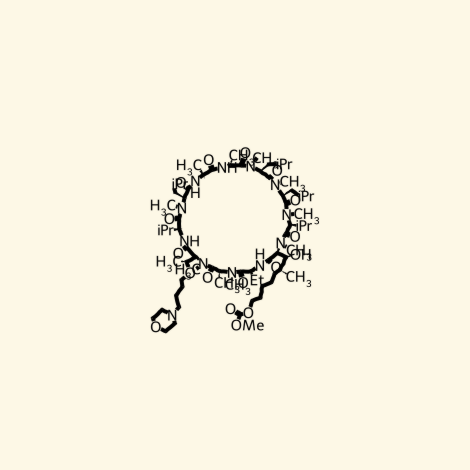 CC[C@@H]1NC(=O)[C@H]([C@H](O)[C@H](C)CCCCCOC(=O)OC)N(C)C(=O)[C@H](C(C)C)N(C)C(=O)[C@H](CC(C)C)N(C)C(=O)[C@H](CC(C)C)N(C)C(=O)[C@@H](C)NC(=O)[C@H](C)NC(=O)[C@H](CC(C)C)N(C)C(=O)[C@H](C(C)C)NC(=O)[C@H]([C@@H](C)OCCCCN2CCOCC2)N(C)C(=O)[C@@H](C)N(C)C1=O